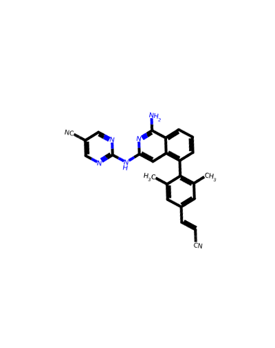 Cc1cc(/C=C/C#N)cc(C)c1-c1cccc2c(N)nc(Nc3ncc(C#N)cn3)cc12